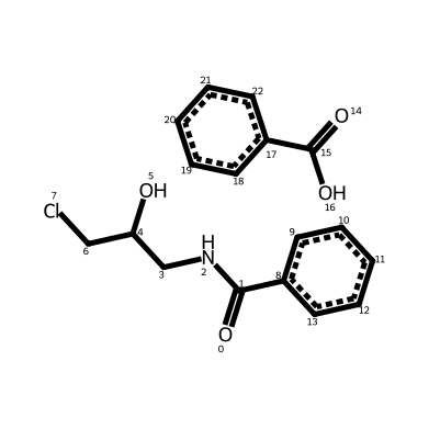 O=C(NCC(O)CCl)c1ccccc1.O=C(O)c1ccccc1